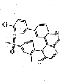 Cc1cc(S(C)(=O)=O)ccc1-n1c(=O)ccc2cnc3ccc(-c4ccc(Cl)cc4)cc3c21